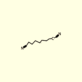 N#CCCC[CH]CCCCC#N